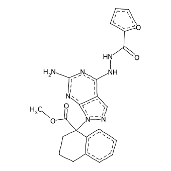 COC(=O)C1(n2ncc3c(NNC(=O)c4ccco4)nc(N)nc32)CCCc2ccccc21